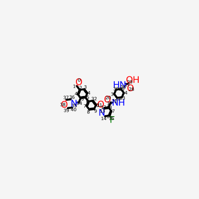 O=Cc1ccc(-c2cccc(Oc3ncc(F)cc3C(=O)N[C@H]3CC[C@H](NC(=O)O)CC3)c2)c(CN2CCOCC2)c1